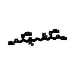 CC(C)(C)OCC(C[SiH2]CCC[SiH2]CC(COC(C)(C)C)OC(C)(C)C)OC(C)(C)C